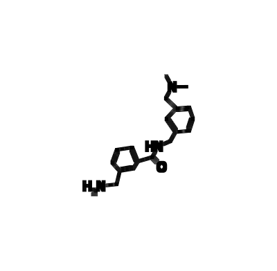 CN(C)Cc1cccc(CNC(=O)c2cccc(CN)c2)c1